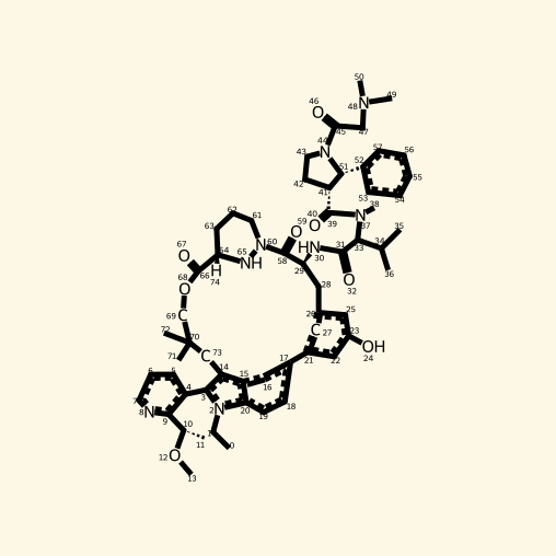 CCn1c(-c2cccnc2[C@H](C)OC)c2c3cc(ccc31)-c1cc(O)cc(c1)C[C@H](NC(=O)C(C(C)C)N(C)C(=O)[C@@H]1CCN(C(=O)CN(C)C)[C@@H]1c1ccccc1)C(=O)N1CCC[C@H](N1)C(=O)OCC(C)(C)C2